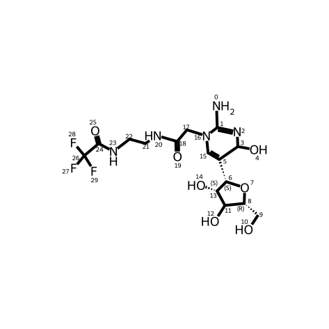 NC1=NC(O)C([C@@H]2O[C@H](CO)C(O)[C@@H]2O)=CN1CC(=O)NCCNC(=O)C(F)(F)F